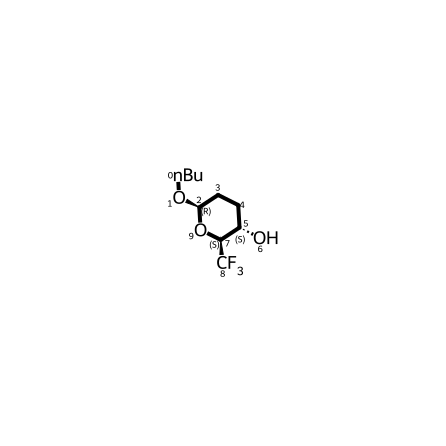 CCCCO[C@H]1CC[C@H](O)[C@@H](C(F)(F)F)O1